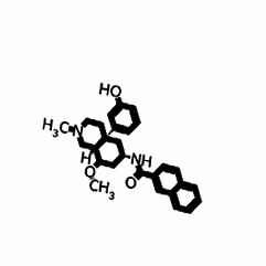 COC1C[C@@H](NC(=O)c2ccc3ccccc3c2)C[C@]2(c3cccc(O)c3)CCN(C)C[C@@H]12